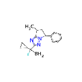 BC(F)(c1nc2n(n1)C(c1ccccc1)CC2C)C1CC1